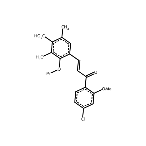 COc1cc(Cl)ccc1C(=O)/C=C/c1cc(C)c(C(=O)O)c(C)c1OC(C)C